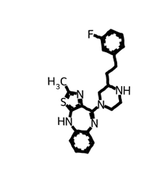 Cc1nc2c(s1)Nc1ccccc1N=C2N1CCNC(CCc2cccc(F)c2)C1